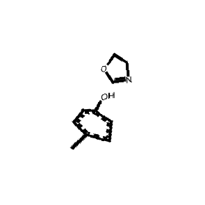 C1=NCCO1.Cc1ccc(O)cc1